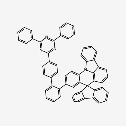 c1ccc(-c2nc(-c3ccccc3)nc(-c3ccc(-c4ccccc4-c4ccc5c(c4)C4(c6ccccc6-c6ccccc64)c4cccc6c7ccccc7n-5c46)cc3)n2)cc1